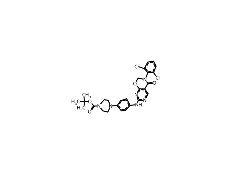 CC(C)(C)OC(=O)N1CCN(c2ccc(Nc3ncc4c(n3)OCN(c3c(Cl)cccc3Cl)C4=O)cc2)CC1